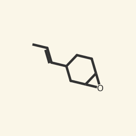 CC=CC1CCC2OC2C1